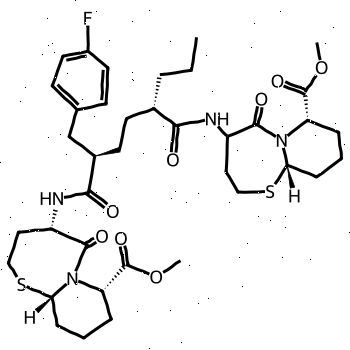 CCC[C@@H](CC[C@H](Cc1ccc(F)cc1)C(=O)N[C@H]1CCS[C@H]2CCC[C@@H](C(=O)OC)N2C1=O)C(=O)NC1CCS[C@H]2CCC[C@@H](C(=O)OC)N2C1=O